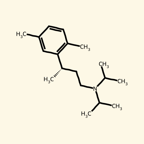 Cc1ccc(C)c([C@@H](C)CCN(C(C)C)C(C)C)c1